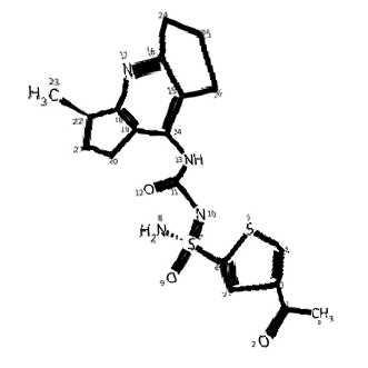 CC(=O)c1csc([S@@](N)(=O)=NC(=O)Nc2c3c(nc4c2CC[C@H]4C)CCC3)c1